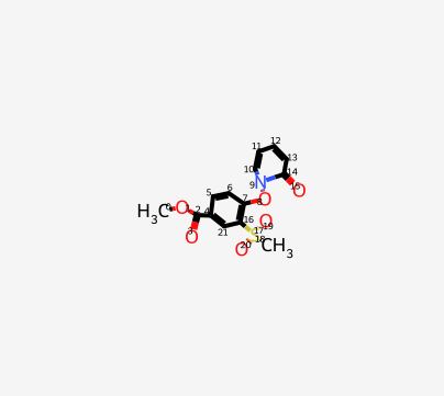 COC(=O)c1ccc(On2ccccc2=O)c(S(C)(=O)=O)c1